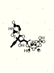 CC#CC1(F)[C@@H](O)[C@@H]([C@@H](C)OP(=O)(O)OP(=O)(O)OP(=O)(O)O)O[C@H]1n1ccc(=O)[nH]c1=O